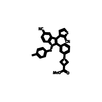 COC(=O)C1CN(c2cccc(-c3c(-c4ccsc4C#N)c4cc(C#N)ccc4n3Sc3ccc(C)cc3)c2)C1